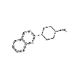 N[C@H]1CC[C@H](c2ncc3ccccc3n2)CC1